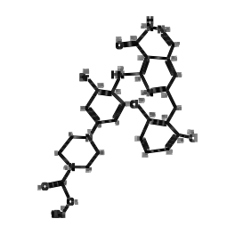 CC(C)(C)OC(=O)N1CCN(c2ccc(Nc3nc(Cc4c(Cl)cccc4Cl)cc4cn[nH]c(=O)c34)c(Br)c2)CC1